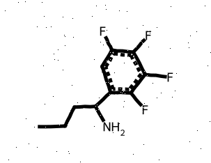 CCCC(N)c1cc(F)c(F)c(F)c1F